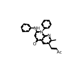 CC(=O)/C=C/c1cc2c(=O)cc(Nc3ccccc3)n(-c3ccccc3)c2nc1C